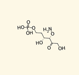 NO[C@H](C(=O)CO)[C@H](O)CCOP(=O)(O)O